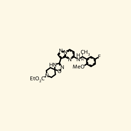 CCOC(=O)N1CCC2(CC1)NC(c1cnn3ccc(N[C@H](C)c4cc(F)ccc4OC)nc13)=NO2